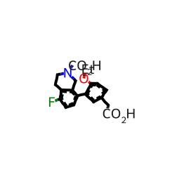 CCOc1ccc(CC(=O)O)cc1-c1ccc(F)c2c1CN(C(=O)O)CC2